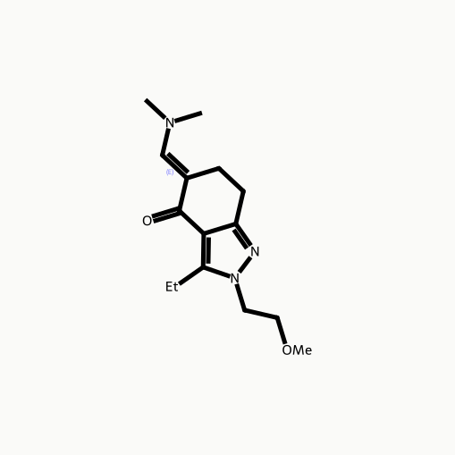 CCc1c2c(nn1CCOC)CC/C(=C\N(C)C)C2=O